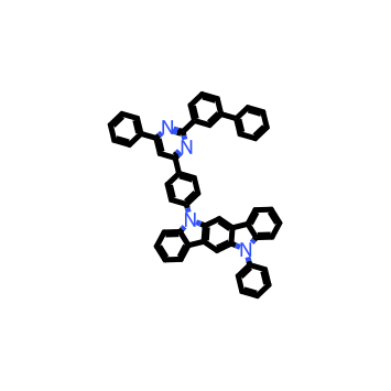 c1ccc(-c2cccc(-c3nc(-c4ccccc4)cc(-c4ccc(-n5c6ccccc6c6cc7c(cc65)c5ccccc5n7-c5ccccc5)cc4)n3)c2)cc1